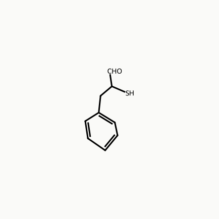 O=CC(S)Cc1ccccc1